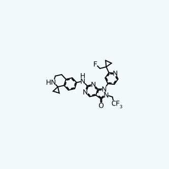 O=c1c2cnc(Nc3ccc4c(c3)CCNC43CC3)nc2n(-c2ccnc(C3(CF)CC3)c2)n1CC(F)(F)F